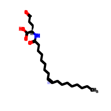 CCCCCCCC/C=C\CCCCCCCC(=O)N[C@@H](CC[C]=O)C(=O)O